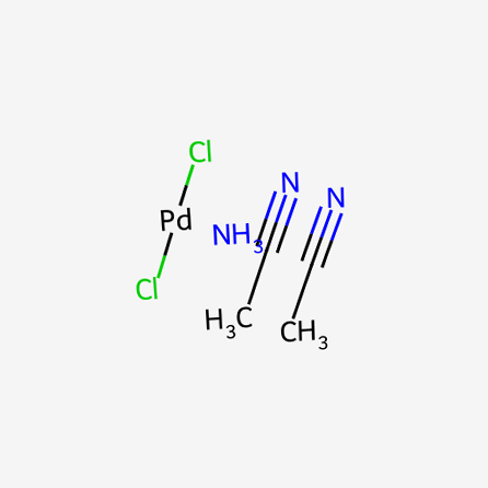 CC#N.CC#N.N.[Cl][Pd][Cl]